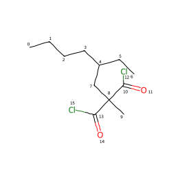 CCCCC(CC)CC(C)(C(=O)Cl)C(=O)Cl